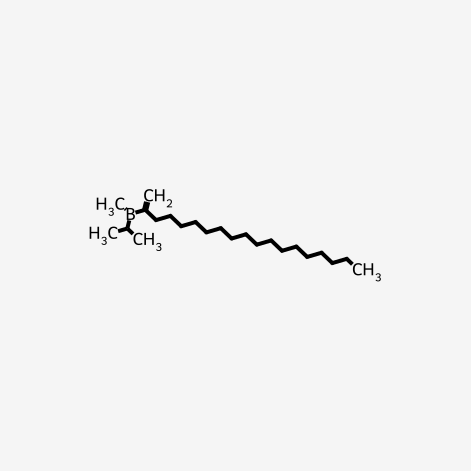 C=C(CCCCCCCCCCCCCCCCC)B(C)C(C)C